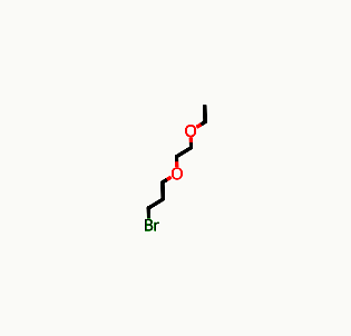 CCOCCOCCCBr